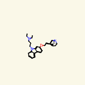 CCN(CC)CCCn1c2ccccc2c2ccc(OCC=C3CN4CCC3CC4)cc21